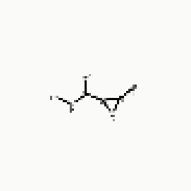 CCCC(NC(C)C)C1OC1C(C)C